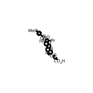 COc1ccc(-c2nnc(N[C@@]34CC[C@]5(C)[C@H](CC[C@@H]6[C@@]7(C)CC[C@H](OC(=O)CC(C)(C)C(=O)O)C(C)(C)[C@@H]7CC[C@]65C)C3=C(C(C)C)C(=O)C4)o2)cc1